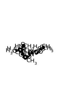 COc1c(NC(=O)c2ccc(C)c(Oc3ccnc(N4CCN(OC(=O)OC(C)(C)C)CC4)n3)c2)cc(C(C)(C)C)cc1NS(C)(=O)=O